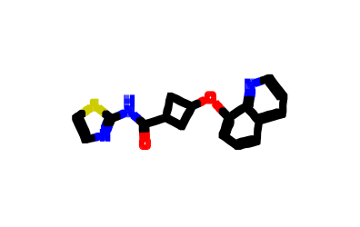 O=C(Nc1nccs1)C1CC(Oc2cccc3cccnc23)C1